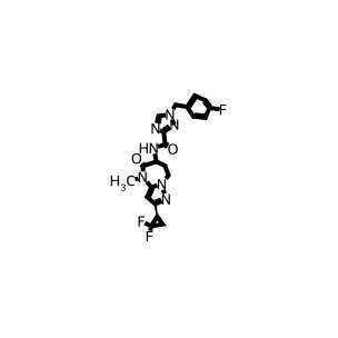 CN1C(=O)C(NC(=O)c2ncn(Cc3ccc(F)cc3)n2)CCn2nc([C@H]3CC3(F)F)cc21